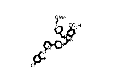 COCCN1CCC(Cn2c(CN3CCC(c4cccc(OCc5ccc(Cl)cc5F)n4)CC3)nc3ccc(C(=O)O)cc32)CC1